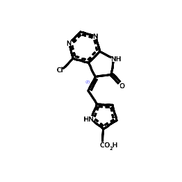 O=C1Nc2ncnc(Cl)c2/C1=C/c1ccc(C(=O)O)[nH]1